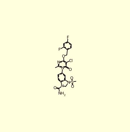 Cc1nc(OCc2ccc(F)cc2F)c(Cl)c(=O)n1-c1ccc2c(c1)N(S(C)(=O)=O)CN2C(N)=O